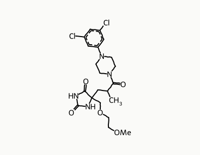 COCCOCC1(CC(C)C(=O)N2CCN(c3cc(Cl)cc(Cl)c3)CC2)NC(=O)NC1=O